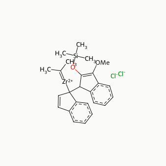 COC1=C(O[Si](C)(C)C)C([C]2([Zr+2]=[C](C)C)C=Cc3ccccc32)c2ccccc21.[Cl-].[Cl-]